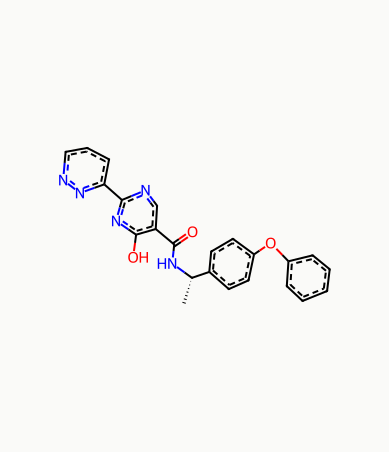 C[C@H](NC(=O)c1cnc(-c2cccnn2)nc1O)c1ccc(Oc2ccccc2)cc1